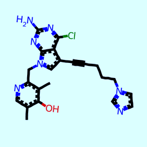 Cc1cnc(Cn2cc(C#CCCCn3ccnc3)c3c(Cl)nc(N)nc32)c(C)c1O